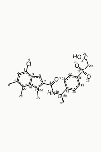 Cc1cc(Cl)c2cc(C(=O)N[C@H](C)c3ccc(S(=O)(=O)CC(=O)O)cc3)n(C)c2c1C